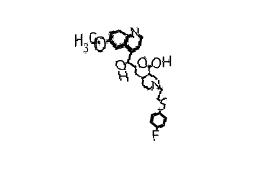 COc1ccc2nccc([C@H](O)CC[C@@H]3CCN(CCSc4ccc(F)cc4)C[C@@H]3C(=O)O)c2c1